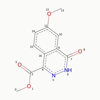 COC(=O)c1n[nH]c(=O)c2cc(OC)ccc12